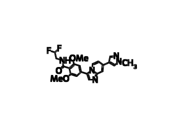 COc1cc(-c2cnc3cc(-c4cnn(C)c4)ccn23)cc(OC)c1C(=O)NCC(F)F